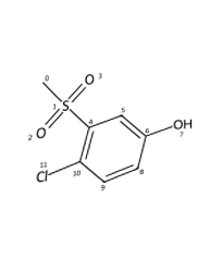 CS(=O)(=O)c1cc(O)ccc1Cl